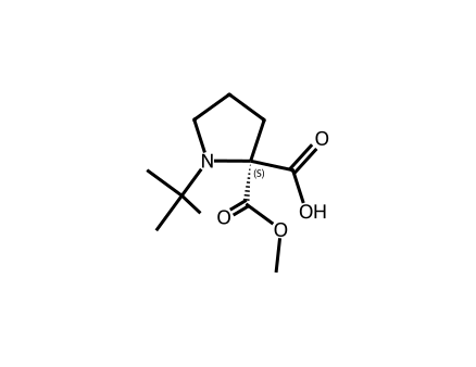 COC(=O)[C@@]1(C(=O)O)CCCN1C(C)(C)C